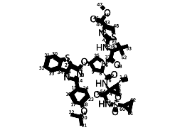 C=C[C@@H]1C[C@]1(NC(=O)[C@@H]1C[C@@H](Oc2nc(-c3ccc(OC(C)C)cc3)nc3c2sc2ccccc23)CN1C(=O)[C@@H](Nc1nc(C(=O)OC)cs1)C(C)(C)C)C(=O)NS(=O)(=O)C1CC1